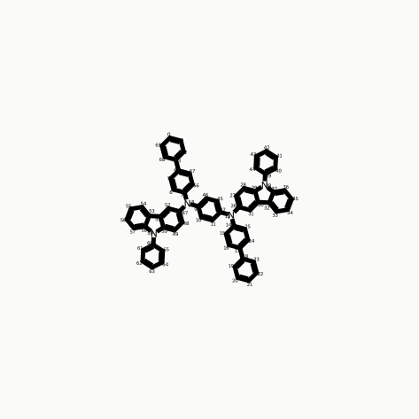 c1ccc(-c2ccc(N(c3ccc(N(c4ccc(-c5ccccc5)cc4)c4ccc5c(c4)c4ccccc4n5-c4ccccc4)cc3)c3ccc4c(c3)c3ccccc3n4-c3ccccc3)cc2)cc1